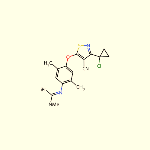 CNC(=Nc1cc(C)c(Oc2snc(C3(Cl)CC3)c2C#N)cc1C)C(C)C